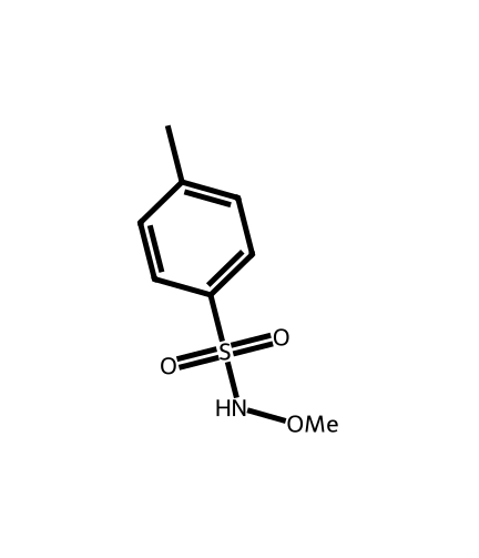 CONS(=O)(=O)c1ccc(C)cc1